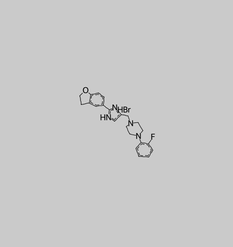 Br.Fc1ccccc1N1CCN(Cc2c[nH]c(-c3ccc4c(c3)CCO4)n2)CC1